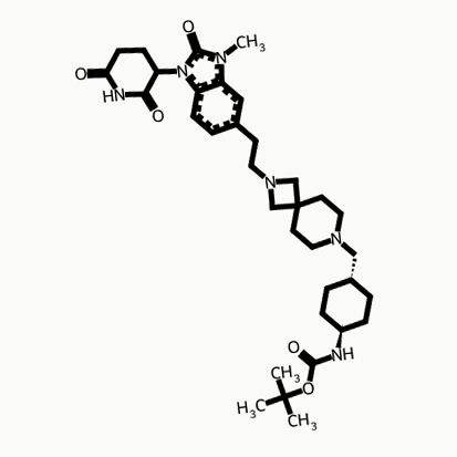 Cn1c(=O)n(C2CCC(=O)NC2=O)c2ccc(CCN3CC4(CCN(C[C@H]5CC[C@H](NC(=O)OC(C)(C)C)CC5)CC4)C3)cc21